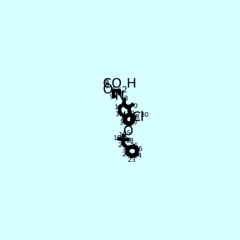 CC1=C(CN2CC(OC(=O)O)C2)CCc2cc(OCC(C)(C)Cc3ccccc3)ccc21.Cl